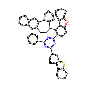 c1ccc(-c2nc(-c3ccc4c(c3)sc3ccccc34)nc(-c3ccc4oc5ccccc5c4c3C3CCc4cc5ccccc5cc4-c4ccccc43)n2)cc1